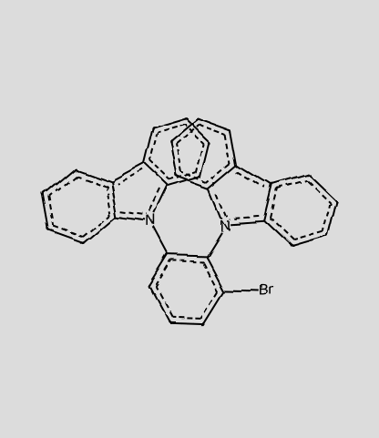 Brc1cccc(-n2c3ccccc3c3ccccc32)c1-n1c2ccccc2c2ccccc21